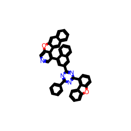 c1ccc(-c2nc(-c3cc(-c4cncc5oc6cc7ccccc7cc6c45)c4ccccc4c3)nc(-c3cccc4oc5ccccc5c34)n2)cc1